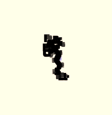 C[CH]SC/C=C/C(F)(Cl)C(F)(F)Br